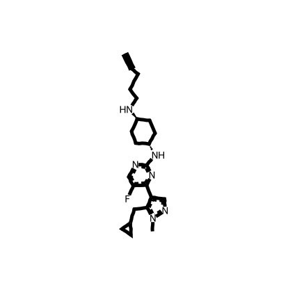 C#CCCCN[C@H]1CC[C@H](Nc2ncc(F)c(-c3cnn(C)c3CC3CC3)n2)CC1